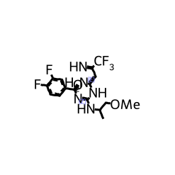 COCC(C)N/C(=N/C(=O)c1ccc(F)c(F)c1)N/C(N)=C/C(=N)C(F)(F)F